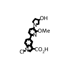 COc1nc(-c2ccc3c(c2)c(C(=O)O)cn3Cl)ccc1N1CCC(O)C1